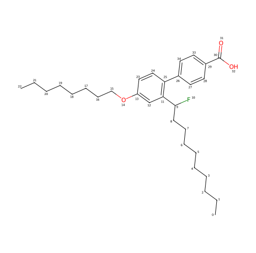 CCCCCCCCCC(F)c1cc(OCCCCCCCC)ccc1-c1ccc(C(=O)O)cc1